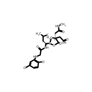 CNC(=O)C[C@@]1(CC(=O)O)OB([C@H](CC(C)C)NC(=O)CNc2cc(Cl)ccc2Cl)OC1=O